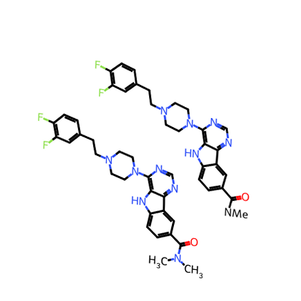 CN(C)C(=O)c1ccc2[nH]c3c(N4CCN(CCc5ccc(F)c(F)c5)CC4)ncnc3c2c1.CNC(=O)c1ccc2[nH]c3c(N4CCN(CCc5ccc(F)c(F)c5)CC4)ncnc3c2c1